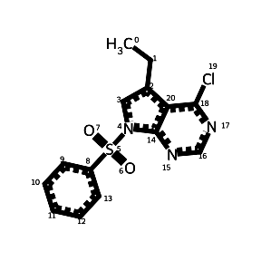 CCc1cn(S(=O)(=O)c2ccccc2)c2ncnc(Cl)c12